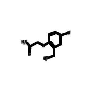 NC(=O)COc1ccc(Cl)cc1CP